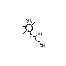 Cc1cc(OC(O)CCO)c(C)c(C)c1N